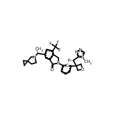 C[C@H](c1cc2c(c(C(F)(F)F)c1)CN(c1cccc(C3([C@H](F)c4nncn4C)COC3)c1)C2=O)N1CCC2(CC2)C1